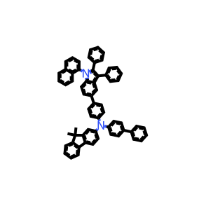 CC1(C)c2ccccc2-c2ccc(N(c3ccc(-c4ccccc4)cc3)c3ccc(-c4ccc5c(c4)c(-c4ccccc4)c(-c4ccccc4)n5-c4cccc5ccccc45)cc3)cc21